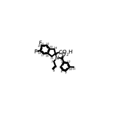 C=CCN(C(=O)c1cccc(C)c1)C1(C(=O)O)Cc2cc(F)c(F)cc2C1